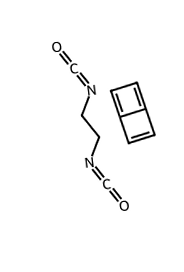 O=C=NCCN=C=O.c1cc2ccc1-2